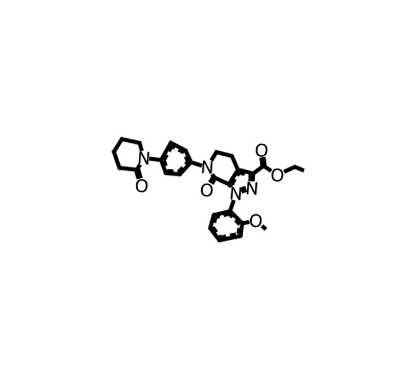 CCOC(=O)c1nn(-c2ccccc2OC)c2c1CCN(c1ccc(N3CCCCC3=O)cc1)C2=O